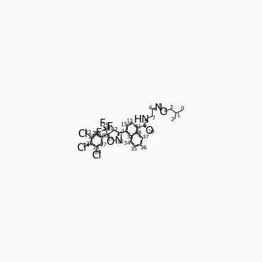 CC(C)CO/N=C\CNC(=O)c1ccc(C2=NOC(c3cc(Cl)c(Cl)c(Cl)c3)(C(F)(F)F)C2)c2ccccc12